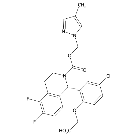 Cc1cnn(COC(=O)N2CCc3c(ccc(F)c3F)[C@H]2c2cc(Cl)ccc2OCC(=O)O)c1